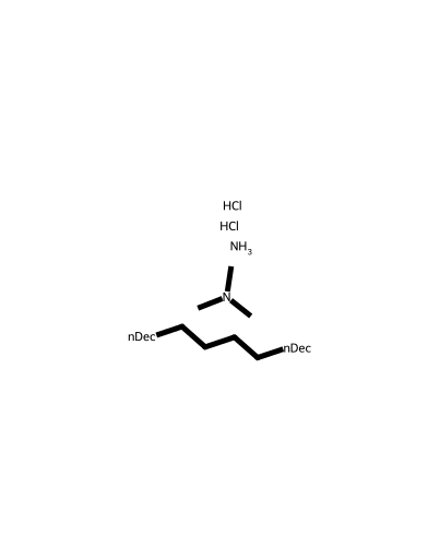 CCCCCCCCCCCCCCCCCCCCCCCC.CN(C)C.Cl.Cl.N